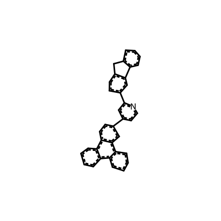 c1ccc2c(c1)Cc1ccc(-c3cc(-c4ccc5c6ccccc6c6ccccc6c5c4)ccn3)cc1-2